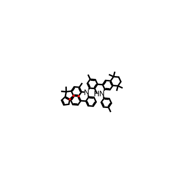 Cc1ccc(Nc2cc3c(cc2-c2cc(C)cc(N(c4cc5c(cc4C)C(C)(C)C4=C5CC=C4)c4ccccc4-c4ccccc4)c2C)C(C)(C)CCC3(C)C)cc1